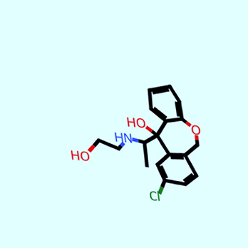 CC(NCCO)C1(O)c2cc(Cl)ccc2COc2ccccc21